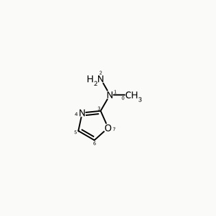 CN(N)c1ncco1